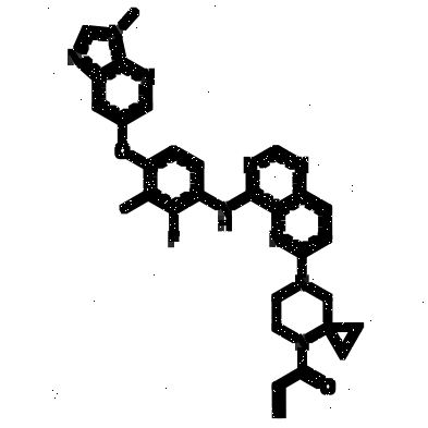 C=CC(=O)N1CCN(c2ccc3ncnc(Nc4ccc(Oc5cnc6c(c5)ncn6C)c(C)c4F)c3n2)CC12CC2